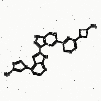 Cc1cn(-c2ccnc3[nH]c(-c4n[nH]c5cnc(-c6cncc(N7CC(N)C7)n6)cc45)cc23)cn1